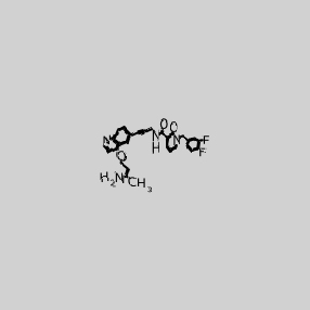 CC(N)CCOc1ccnc2ccc(C#CCNC(=O)c3cccn(Cc4ccc(F)c(F)c4)c3=O)cc12